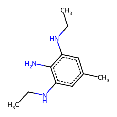 CCNc1cc(C)cc(NCC)c1N